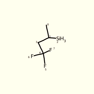 CC([SiH3])CC(F)(F)F